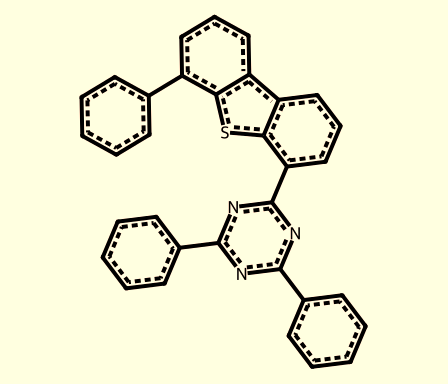 c1ccc(-c2nc(-c3ccccc3)nc(-c3cccc4c3sc3c(-c5ccccc5)cccc34)n2)cc1